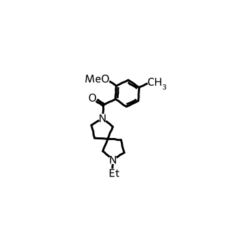 CCN1CCC2(CCN(C(=O)c3ccc(C)cc3OC)C2)C1